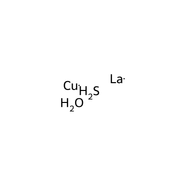 O.S.[Cu].[La]